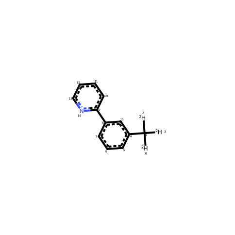 [2H]C([2H])([2H])c1cccc(-c2ccccn2)c1